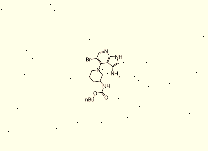 CCCCOC(=O)NC1CCCN(c2c(Br)cnc3[nH]cc(N)c23)C1